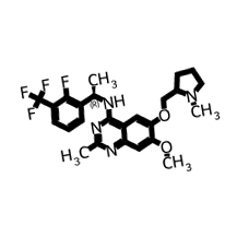 COc1cc2nc(C)nc(N[C@H](C)c3cccc(C(F)(F)F)c3F)c2cc1OCC1CCCN1C